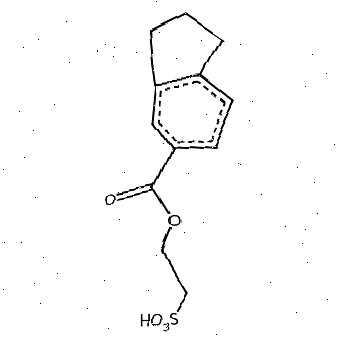 O=C(OCCS(=O)(=O)O)c1ccc2c(c1)CCC2